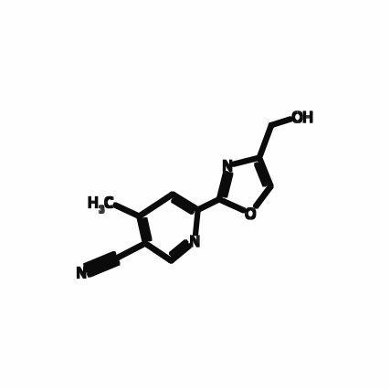 Cc1cc(-c2nc(CO)co2)ncc1C#N